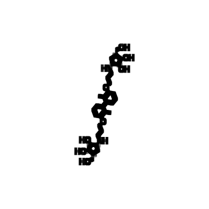 Cc1c(OCCCN[C@@H]2C[C@H](CO)[C@@H](O)[C@H]2O)cccc1-c1cccc(OCCCN[C@@H]2C[C@H](CO)[C@@H](O)[C@H]2O)c1C